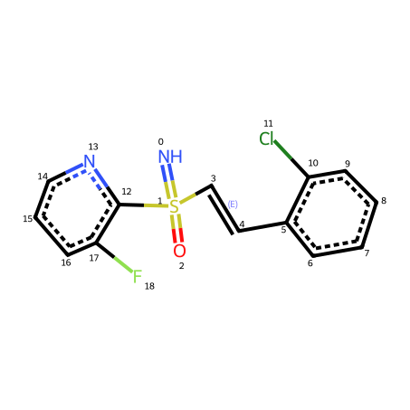 N=S(=O)(/C=C/c1ccccc1Cl)c1ncccc1F